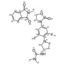 CN(C)C(=O)NC1CCN(c2c(F)cc(N3C[C@H](CN4C(=O)c5ccccc5C4=O)OC3=O)cc2F)C1